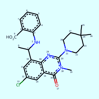 CC(Nc1ccccc1C(=O)O)c1cc(Cl)cc2c(=O)n(C)c(N3CCC(C)(C)CC3)nc12